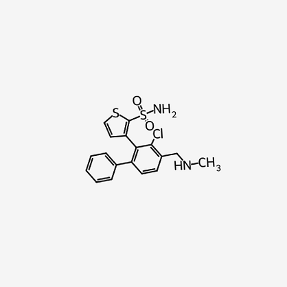 CNCc1ccc(-c2ccccc2)c(-c2ccsc2S(N)(=O)=O)c1Cl